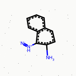 [N-]=[NH+]c1c(N)ccc2ccccc12